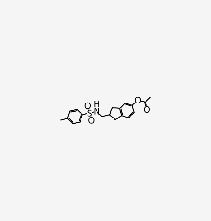 CC(=O)Oc1ccc2c(c1)CC(CNS(=O)(=O)c1ccc(C)cc1)C2